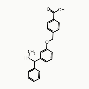 CNC(c1ccccc1)c1cccc(OCc2ccc(C(=O)O)cc2)c1